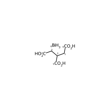 O=C(O)CC(CC(=O)O)C(=O)O.[BiH3]